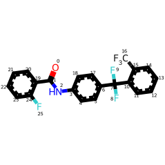 O=C(Nc1ccc(C(F)(F)c2ccccc2C(F)(F)F)cc1)c1ccccc1F